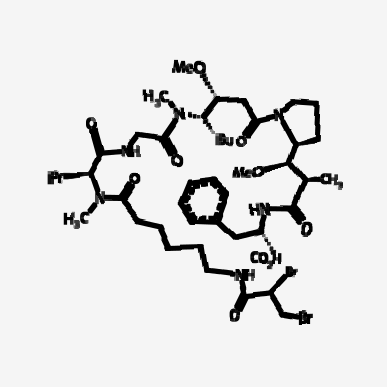 CC[C@@H](C)[C@@H]([C@@H](CC(=O)N1CCC[C@H]1[C@H](OC)[C@@H](C)C(=O)N[C@@H](Cc1ccccc1)C(=O)O)OC)N(C)C(=O)CNC(=O)[C@H](C(C)C)N(C)C(=O)CCCCCNC(=O)C(Br)CBr